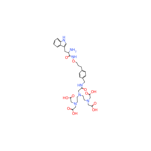 NC(Cc1c[nH]c2ccccc12)C(=O)NOCCCc1ccc(CNC(=O)CN(CCN(CC(=O)O)CC(=O)O)CCN(CC(=O)O)CC(=O)O)cc1